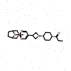 CCC(=O)[C@H]1CC[C@@H](N2CC(c3cnc(N4C5CCC4CN(C)C5)nc3)C2)CC1